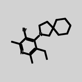 CCc1c(C)nc(C)c(Br)c1N1CCC2(CCCCC2)C1